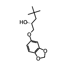 CC(C)(C)C[C@@H](O)COc1ccc2c(c1)OCO2